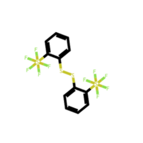 FS(F)(F)(F)(F)c1ccccc1SSc1ccccc1S(F)(F)(F)(F)F